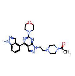 CC(=O)N1CCN(CCn2ncc3c(-c4cccc5[nH]ncc45)nc(N4CCOCC4)nc32)CC1